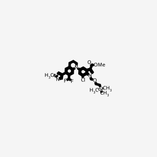 COC(=O)c1cn(COCC[Si](C)(C)C)c2c(Cl)cc(N3CCCc4cc(-c5cnn(C)c5)c(C(F)F)cc43)cc12